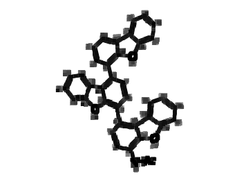 CC(=O)Nc1ccc(-c2ccc(-c3cccc4c3oc3ccccc34)c3c2oc2ccccc23)c2c1oc1ccccc12